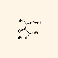 CCCCCC(CCC)C(=O)C(CCC)CCCCC